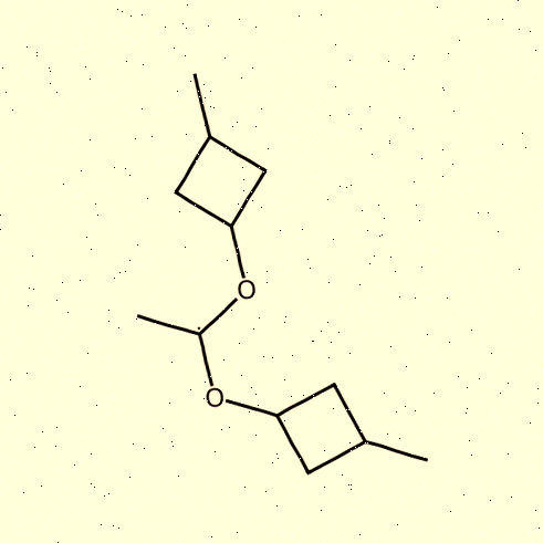 C[C](OC1CC(C)C1)OC1CC(C)C1